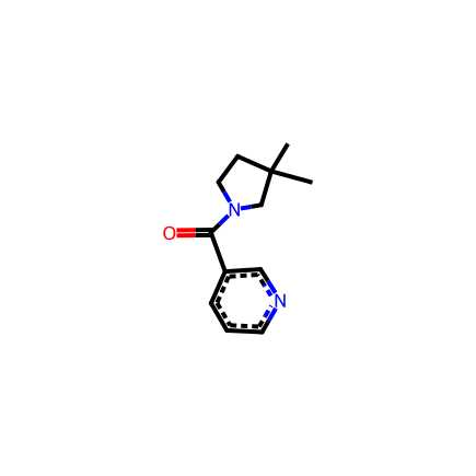 CC1(C)CCN(C(=O)c2cccnc2)C1